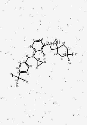 OC1(CNc2ncnc(N(Cc3ccc(C(F)(F)F)cc3)C3CC3)c2F)CCC(F)(F)CC1